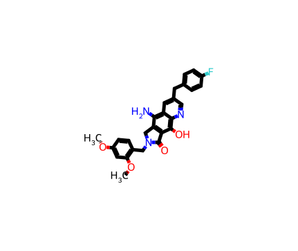 COc1ccc(CN2Cc3c(c(O)c4ncc(Cc5ccc(F)cc5)cc4c3N)C2=O)c(OC)c1